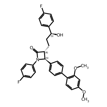 COc1ccc(-c2ccc([C@@H]3[C@@H](CC[C@H](O)c4ccc(F)cc4)C(=O)N3c3ccc(F)cc3)cc2)c(OC)c1